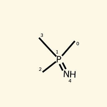 CP(C)(C)=N